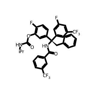 CC(C)NC(=O)Oc1cc([C@@](Cc2ccccc2)(NC(=O)c2cccc(C(F)(F)F)c2)c2cc(F)cc(C(F)(F)F)c2)ccc1F